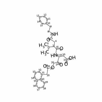 CC(C)C(CC(=O)NCCc1ccccc1)C(=O)NC(CC(=O)O)C(=O)COC(=O)Cc1cccc2ccccc12